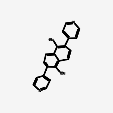 CC(C)(C)c1c(-c2ccncc2)ccc2c(C(C)(C)C)c(-c3ccncc3)ccc12